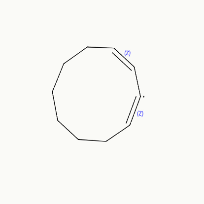 [C]1=C\CCCCCC\C=C/1